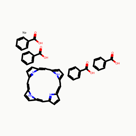 C1=Cc2cc3ccc(cc4nc(cc5ccc(cc1n2)[nH]5)C=C4)[nH]3.O=C(O)c1ccccc1.O=C(O)c1ccccc1.O=C(O)c1ccccc1.O=C(O)c1ccccc1.[Na]